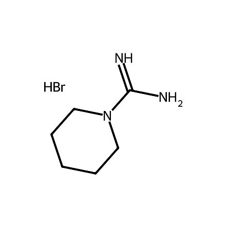 Br.N=C(N)N1CCCCC1